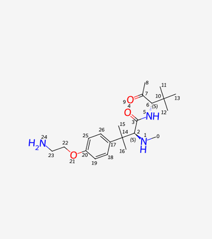 CN[C@H](C(=O)N[C@H](C(C)=O)C(C)(C)C)C(C)(C)c1ccc(OCCN)cc1